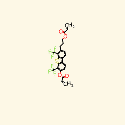 C=CC(=O)OCCCc1ccc2c(sc3c(C(F)(F)F)c(OC(=O)C=C)ccc32)c1C(F)(F)F